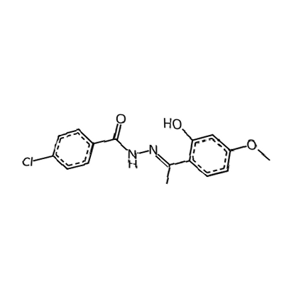 COc1ccc(/C(C)=N/NC(=O)c2ccc(Cl)cc2)c(O)c1